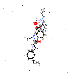 C=CCN1CC[C@]23CC(N(C)C(=O)/C=C/c4cccc(C)c4)CC[C@@]2(O)[C@H]1Cc1ccc(O)cc13